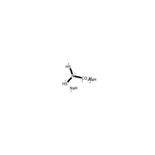 O=C(O)N(S)S.[NaH].[NaH]